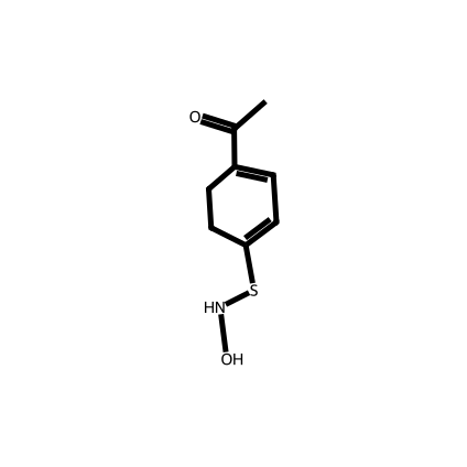 CC(=O)C1=CC=C(SNO)CC1